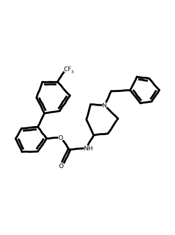 O=C(NC1CCN(Cc2ccccc2)CC1)Oc1ccccc1-c1ccc(C(F)(F)F)cc1